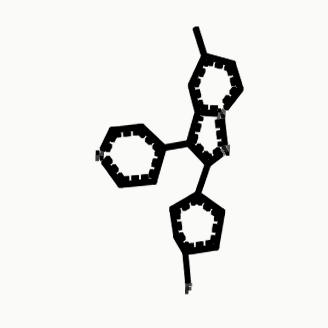 Cc1ccn2nc(-c3ccc(F)cc3)c(-c3ccncc3)c2c1